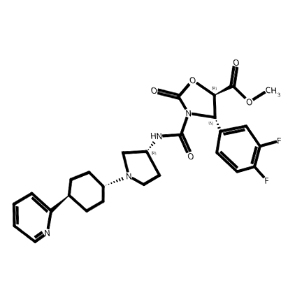 COC(=O)[C@@H]1OC(=O)N(C(=O)N[C@@H]2CCN([C@H]3CC[C@H](c4ccccn4)CC3)C2)[C@H]1c1ccc(F)c(F)c1